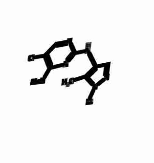 CCn1ncc(Nc2ncc(Cl)c(NC)n2)c1C